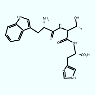 C[C@@H](O)[C@H](NC(=O)[C@@H](N)Cc1c[nH]c2ccccc12)C(=O)N[C@@H](Cc1c[nH]cn1)C(=O)O